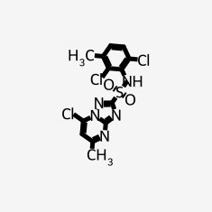 Cc1cc(Cl)n2nc(S(=O)(=O)Nc3c(Cl)ccc(C)c3Cl)nc2n1